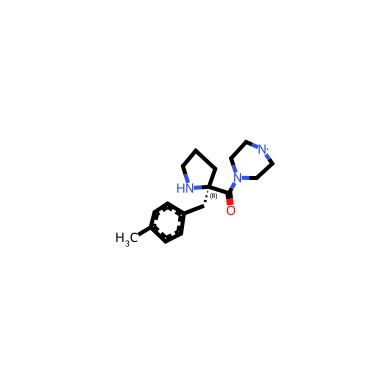 Cc1ccc(C[C@@]2(C(=O)N3CC[N]CC3)CCCN2)cc1